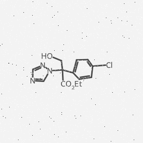 CCOC(=O)C(CO)(c1ccc(Cl)cc1)n1cncn1